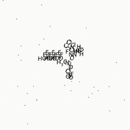 CN1C[C@H](Oc2cccc(S(=O)(=O)F)c2)C[C@H]1COc1nc(N2C[C@H]3CC[C@@H](C2)N3)c2cnc(-c3cccc4cccc(Cl)c34)c(F)c2n1.O=C(O)C(F)(F)F.O=C(O)C(F)(F)F.O=C(O)C(F)(F)F